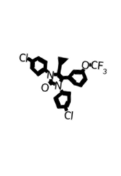 O=c1n(-c2ccc(Cl)cc2)c(-c2cccc(OC(F)(F)F)c2)c(C2CC2)n1-c1ccc(Cl)cc1